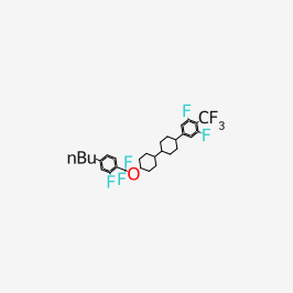 CCCCc1ccc(C(F)(F)OC2CCC(C3CCC(c4cc(F)c(C(F)(F)F)c(F)c4)CC3)CC2)c(F)c1